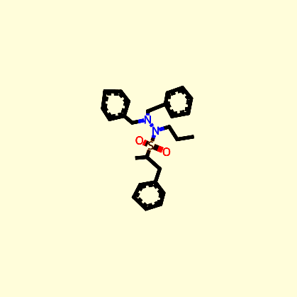 CCCN(N(Cc1ccccc1)Cc1ccccc1)S(=O)(=O)C(C)Cc1ccccc1